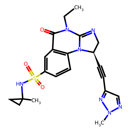 CCN1C(=O)c2cc(S(=O)(=O)NC3(C)CC3)ccc2N2C1=NC[C@H]2C#Cc1cnn(C)n1